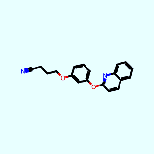 N#CCCCOc1cccc(Oc2ccc3ccccc3n2)c1